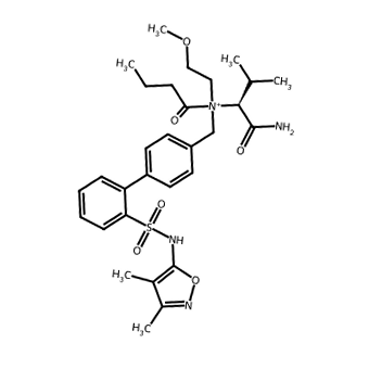 CCCC(=O)[N+](CCOC)(Cc1ccc(-c2ccccc2S(=O)(=O)Nc2onc(C)c2C)cc1)[C@H](C(N)=O)C(C)C